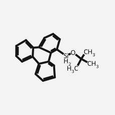 CC(C)(C)O[SiH2]c1cccc2c3ccccc3c3ccccc3c12